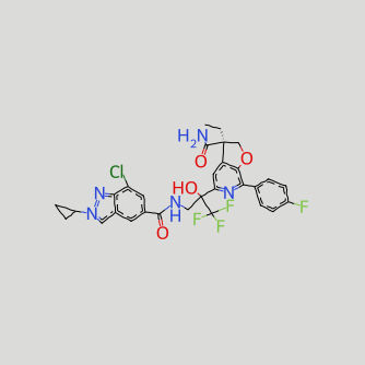 CC[C@]1(C(N)=O)COc2c1cc(C(O)(CNC(=O)c1cc(Cl)c3nn(C4CC4)cc3c1)C(F)(F)F)nc2-c1ccc(F)cc1